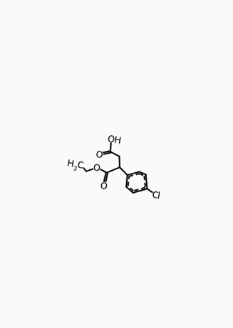 CCOC(=O)C(CC(=O)O)c1ccc(Cl)cc1